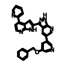 c1ccc(COc2cncc(-c3cnc4[nH]nc(-c5cc6c(-c7ccccn7)ccnc6[nH]5)c4c3)c2)cc1